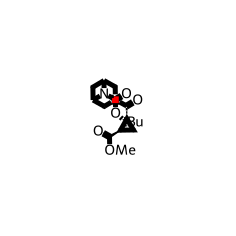 COC(=O)[C@@H]1C[C@H]1C(=O)N1CC2CC(C1)N2C(=O)OC(C)(C)C